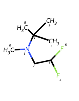 CN(CC(F)F)C(C)(C)C